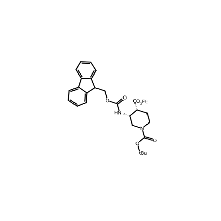 CCOC(=O)[C@@H]1CCN(C(=O)OC(C)(C)C)C[C@@H]1NC(=O)OCC1c2ccccc2-c2ccccc21